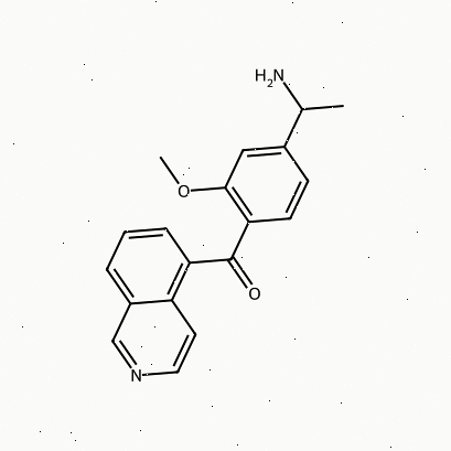 COc1cc(C(C)N)ccc1C(=O)c1cccc2cnccc12